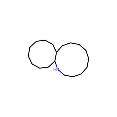 C1CCCCNC2CCCCCCCCC2CCCC1